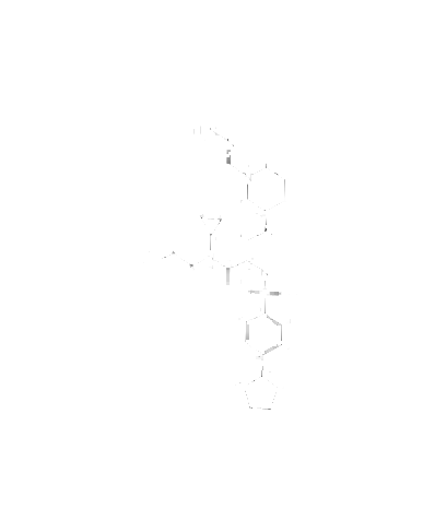 NN=CN1CCC[C@@H](CC[C@H](NS(=O)(=O)c2ccc(C3CCCC3)cc2)C(=O)N(CCC(=O)O)C2CC2)C1